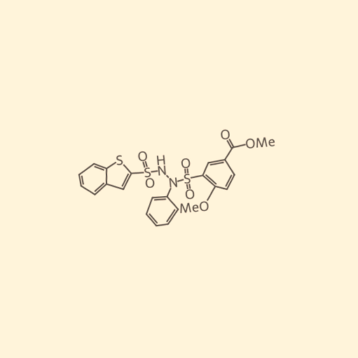 COC(=O)c1ccc(OC)c(S(=O)(=O)N(NS(=O)(=O)c2cc3ccccc3s2)c2ccccc2)c1